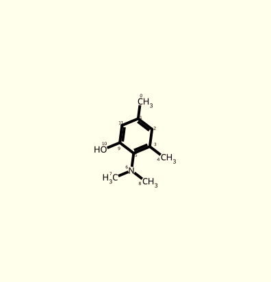 Cc1cc(C)c(N(C)C)c(O)c1